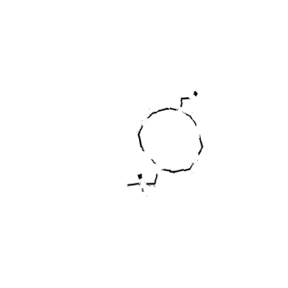 CP(=O)(O)CN1CCCNCCN(CP=O)CCCNCC1